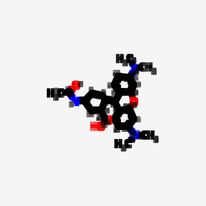 CC(=O)N=C1C=CC(=C2c3ccc(N(C)C)cc3Oc3cc(N(C)C)ccc32)C(C(=O)O)=C1